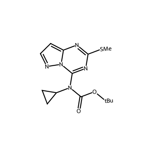 CSc1nc(N(C(=O)OC(C)(C)C)C2CC2)n2nccc2n1